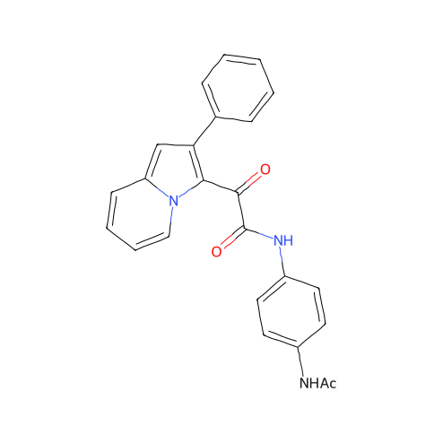 CC(=O)Nc1ccc(NC(=O)C(=O)c2c(-c3ccccc3)cc3ccccn23)cc1